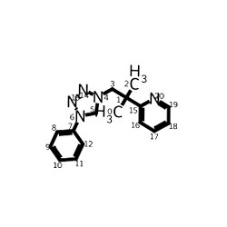 CC(C)(CN1CN(c2c[c]ccc2)N=N1)c1ccccn1